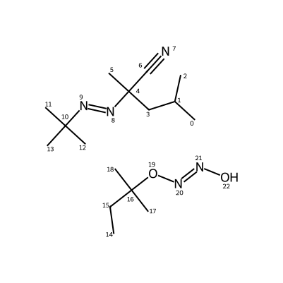 CC(C)CC(C)(C#N)N=NC(C)(C)C.CCC(C)(C)ON=NO